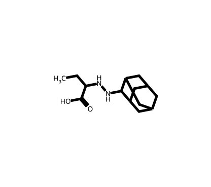 CCC(NNC1C2CC3CC(C2)CC1C3)C(=O)O